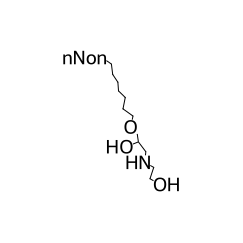 CCCCCCCCCCCCCCCCOCC(O)CNCCO